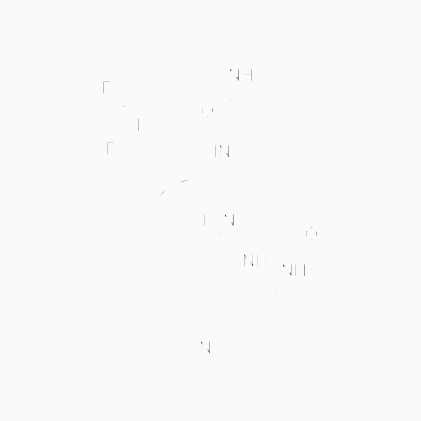 N=C(/C=C\N/C1=C/C=C(\C(=N)N)C(=O)NSc2ccc(nc2)CCCCCC2CC1C2)OCCC1(C(F)(F)CF)CC1